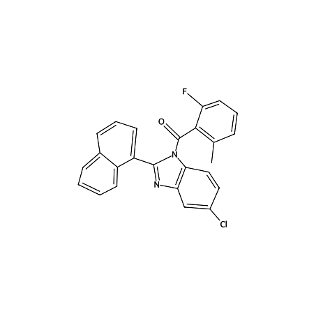 Cc1cccc(F)c1C(=O)n1c(-c2cccc3ccccc23)nc2cc(Cl)ccc21